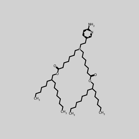 CCCCCCCCC(CCCCCC)COC(=O)CCCCCCN(CCCCCCC(=O)OCC(CCCCCC)CCCCCCCC)CCc1ccc(N)nc1